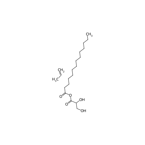 C=CC.CCCCCCCCCCCCCC(=O)OC(=O)C(O)CO